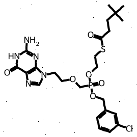 CC(C)(C)CCC(=O)SCCOP(=O)(COCCn1cnc2c(=O)[nH]c(N)nc21)OCc1cccc(Cl)c1